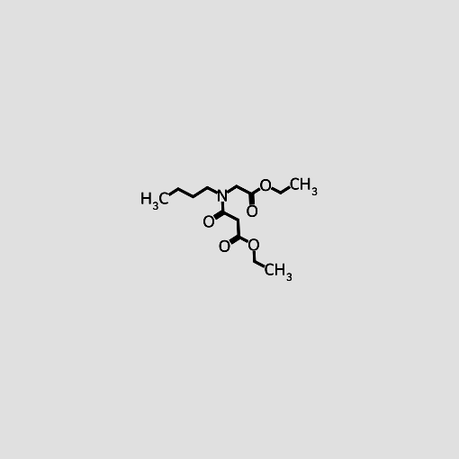 CCCCN(CC(=O)OCC)C(=O)CC(=O)OCC